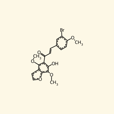 COc1ccc(/C=C/C(=O)c2c(O)c(OC)c3occc3c2OC)cc1Br